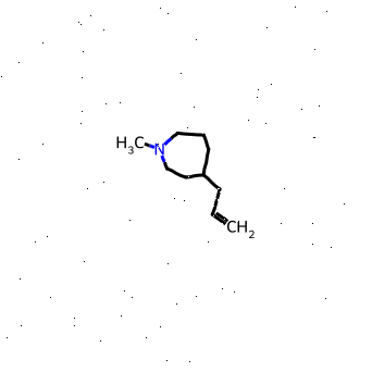 C=CCC1CCCN(C)CC1